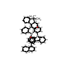 CC1(C)c2ccccc2-c2c(-c3ccccc3N(c3ccc(-c4cccc5ccccc45)cc3)c3ccccc3-n3c4ccccc4c4ccccc43)cccc21